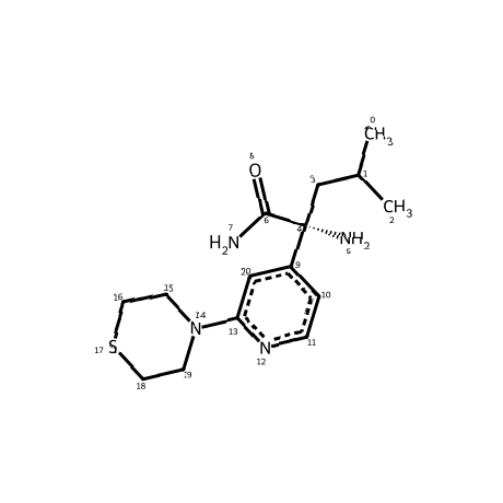 CC(C)C[C@](N)(C(N)=O)c1ccnc(N2CCSCC2)c1